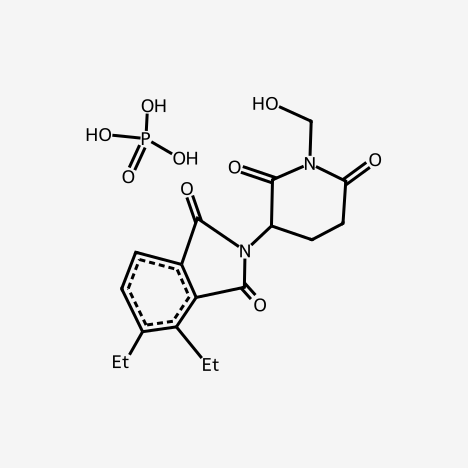 CCc1ccc2c(c1CC)C(=O)N(C1CCC(=O)N(CO)C1=O)C2=O.O=P(O)(O)O